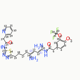 COc1ccc(CC(=O)N/C(N)=C/C=C(\N)CCCCc2nnc(NC(=O)Cc3ccccn3)s2)cc1OC(F)(F)F